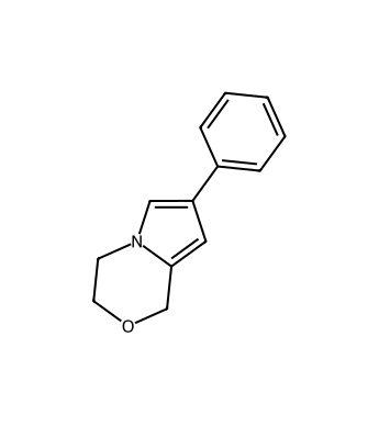 c1ccc(-c2cc3n(c2)CCOC3)cc1